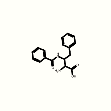 NC(C(=O)O)C(Cc1ccccc1)NC(=O)c1ccccc1